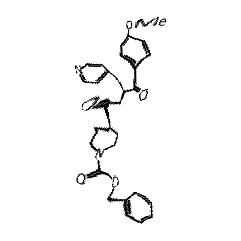 COc1ccc(C(=O)C(CC(=O)C2CCN(C(=O)OCc3ccccc3)CC2)c2ccncc2)cc1